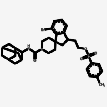 Cc1ccc(S(=O)(=O)OCCC2CC3(CCN(C(=O)NC4C5CC6CC(C5)CC4C6)CC3)c3c(Br)cccc32)cc1